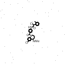 CNC1CCCN(C(=O)c2ccc(NC(=O)C(Cl)c3ccccc3C)cc2)c2ccc(Cl)cc21